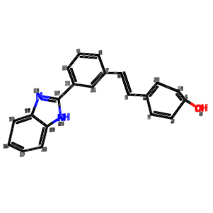 Oc1ccc(C=Cc2cccc(-c3nc4ccccc4[nH]3)c2)cc1